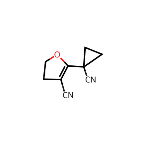 N#CC1=C(C2(C#N)CC2)OCC1